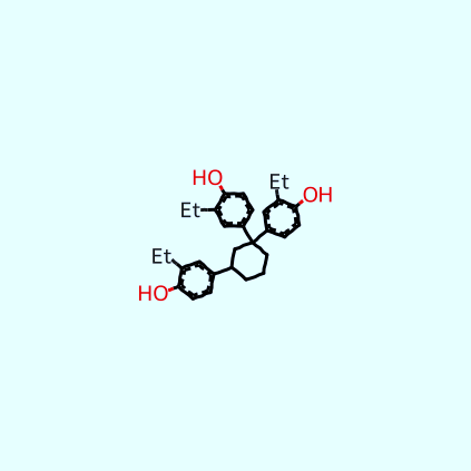 CCc1cc(C2CCCC(c3ccc(O)c(CC)c3)(c3ccc(O)c(CC)c3)C2)ccc1O